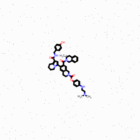 C[C@@H]1Cc2ccccc2CN1C(=O)c1cc2c(cc1-c1cc(C(=O)NCc3ccc(O)cc3)c3n1CCCC3)CCN(C(=O)Oc1ccc(NCCN(C)C)cc1)C2